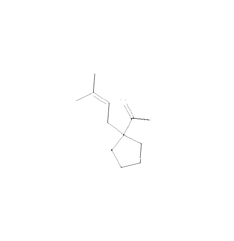 CCC(=O)C1(CC=C(C)C)CCCC1